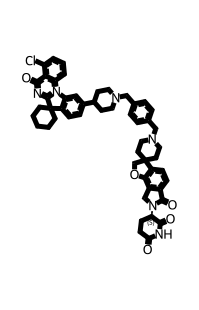 O=C1CC[C@H](N2Cc3c(ccc4c3OCC43CCN(Cc4ccc(CN5CCC(c6ccc7c(c6)-n6c(nc(=O)c8c(Cl)cccc86)C76CCCCC6)CC5)cc4)CC3)C2=O)C(=O)N1